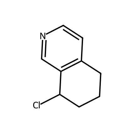 ClC1CCCc2ccncc21